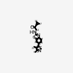 Cc1nsc(-c2ccc3nc(NCC(=O)C4CC4)sc3c2)c1C